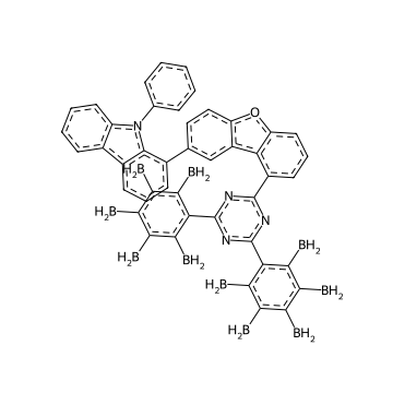 Bc1c(B)c(B)c(-c2nc(-c3c(B)c(B)c(B)c(B)c3B)nc(-c3cccc4oc5ccc(-c6cccc7c8ccccc8n(-c8ccccc8)c67)cc5c34)n2)c(B)c1B